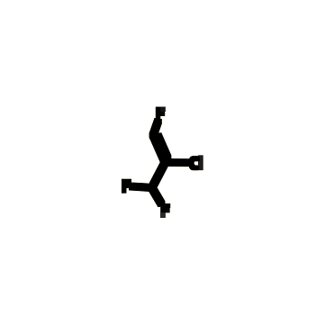 FC=C(Cl)C(F)F